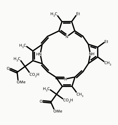 CCC1=C(C)c2cc3[nH]c(cc4nc(cc5[nH]c(cc1n2)c(CC)c5C)C(C)=C4C(C)(C(=O)O)C(=O)OC)c(C(C)(C(=O)O)C(=O)OC)c3C